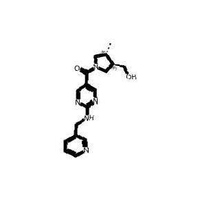 C[C@H]1CN(C(=O)c2cnc(NCc3cccnc3)nc2)C[C@@H]1CO